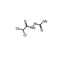 CCCC(=O)[N]NC(=O)C(Cl)Cl